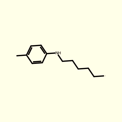 [CH2]CCCCCNc1ccc(C)cc1